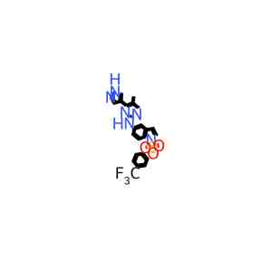 Cc1cnc(Nc2ccc3c(ccn3S(=O)(=O)Oc3ccc(C(F)(F)F)cc3)c2)nc1-c1cn[nH]c1